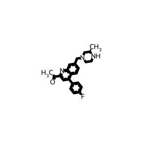 CC(=O)c1cc(-c2ccc(F)cc2)c2ccc(CN3CCN[C@H](C)C3)cc2n1